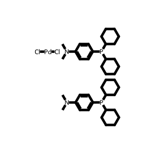 CN(C)c1ccc(P(C2CCCCC2)C2CCCCC2)cc1.CN(C)c1ccc(P(C2CCCCC2)C2CCCCC2)cc1.[Cl][Pd][Cl]